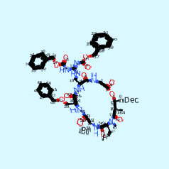 CCCCCCCCCC[C@@H]1OC(=O)CNC(=O)[C@H](CN/C(=N\C(=O)OCc2ccccc2)NC(=O)OCc2ccccc2)NC(=O)[C@H](COCc2ccccc2)NC(=O)[C@H]([C@H](C)CC)NC(=O)[C@H](CC(C)C)N(C)C(=O)[C@@H]1C